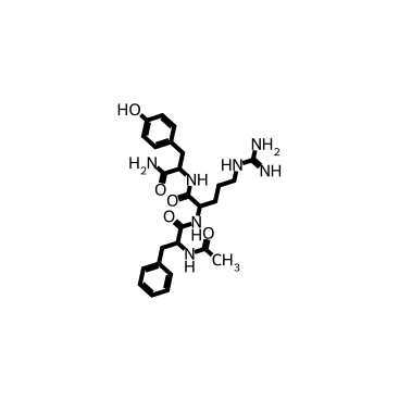 CC(=O)NC(Cc1ccccc1)C(=O)NC(CCCNC(=N)N)C(=O)NC(Cc1ccc(O)cc1)C(N)=O